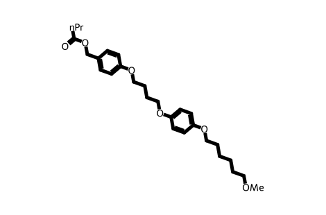 CCCC(=O)OCc1ccc(OCCCCOc2ccc(OCCCCCCOC)cc2)cc1